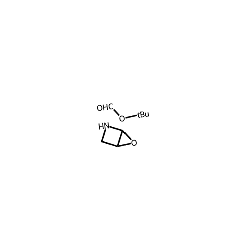 C1NC2OC12.CC(C)(C)OC=O